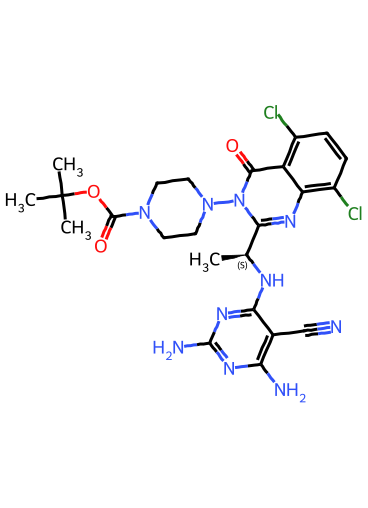 C[C@H](Nc1nc(N)nc(N)c1C#N)c1nc2c(Cl)ccc(Cl)c2c(=O)n1N1CCN(C(=O)OC(C)(C)C)CC1